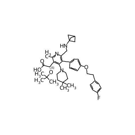 Cc1nc(CNC23CC(C2)C3)c(-c2ccc(OCCc3ccc(F)cc3)cc2)c(N2CCC(C)(C)CC2)c1[C@H](OC(C)(C)C)C(=O)O